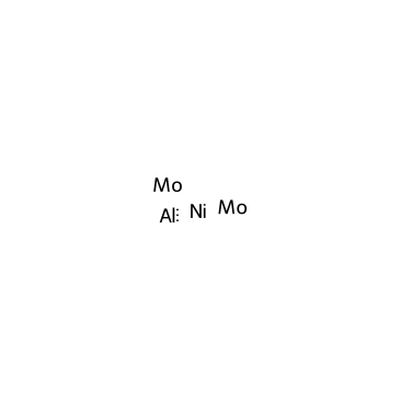 [Al].[Mo].[Mo].[Ni]